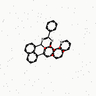 c1ccc(C2=NC(c3cccc4cccc(-c5ccc(-c6ccccn6)cc5)c34)NC(c3ccccc3)=N2)cc1